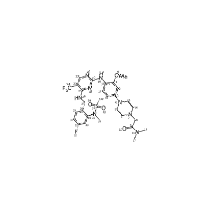 COc1cc(N2CCN(CC(=O)N(C)C)CC2)ccc1Nc1ncc(C(F)(F)F)c(NCc2ccc(F)cc2N(C)S(C)(=O)=O)n1